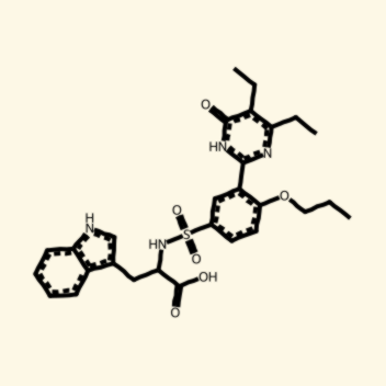 CCCOc1ccc(S(=O)(=O)NC(Cc2c[nH]c3ccccc23)C(=O)O)cc1-c1nc(CC)c(CC)c(=O)[nH]1